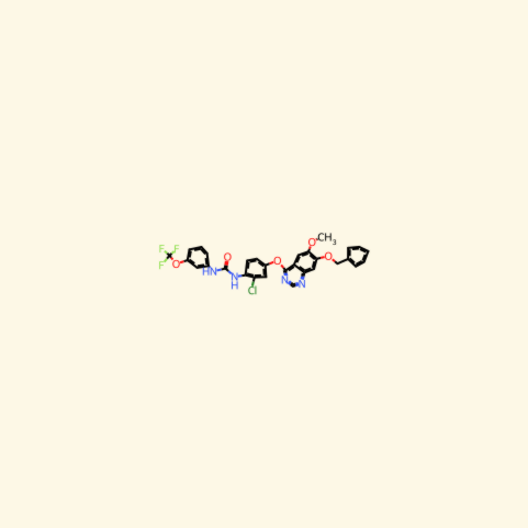 COc1cc2c(Oc3ccc(NC(=O)Nc4cccc(OC(F)(F)F)c4)c(Cl)c3)ncnc2cc1OCc1ccccc1